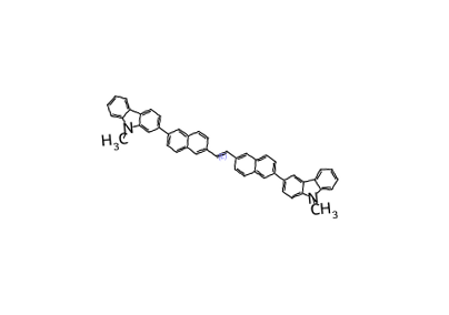 Cn1c2ccccc2c2cc(-c3ccc4cc(/C=C/c5ccc6cc(-c7ccc8c9ccccc9n(C)c8c7)ccc6c5)ccc4c3)ccc21